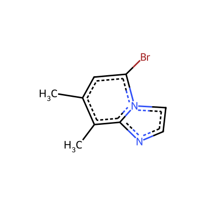 Cc1cc(Br)n2ccnc2c1C